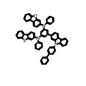 c1ccc(-c2ccc(-n3c4ccccc4c4ccc(-c5cc(N(c6ccccc6)c6ccc7c(c6)oc6ccccc67)cc(N(c6ccccc6)c6ccc7c(c6)sc6ccccc67)c5)cc43)cc2)cc1